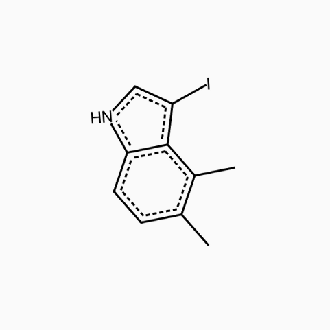 Cc1ccc2[nH]cc(I)c2c1C